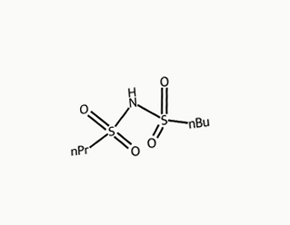 CCCCS(=O)(=O)NS(=O)(=O)CCC